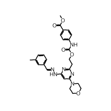 COC(=O)c1ccc(NC(=O)OCCc2nc(NN=Cc3cccc(C)c3)cc(N3CCOCC3)n2)cc1